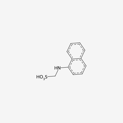 O=S(=O)(O)CNc1cccc2ccccc12